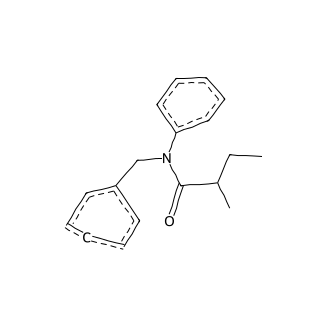 CCC(C)C(=O)N(Cc1ccccc1)c1ccccc1